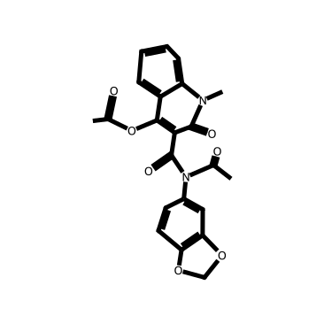 CC(=O)Oc1c(C(=O)N(C(C)=O)c2ccc3c(c2)OCO3)c(=O)n(C)c2ccccc12